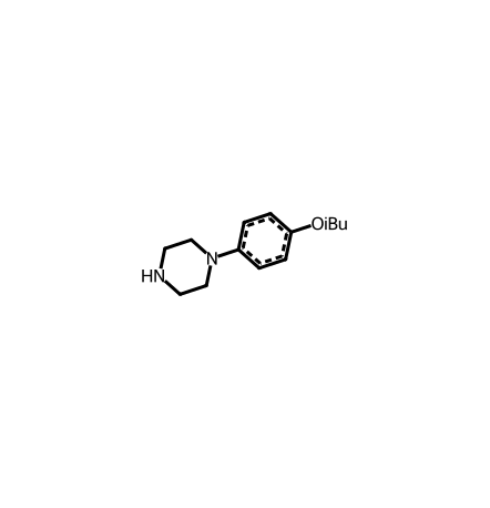 CC(C)COc1ccc(N2CCNCC2)cc1